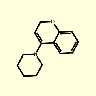 C1=C(N2CCCCC2)c2ccccc2OC1